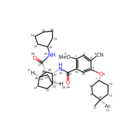 COc1cc(C#N)c(O[C@H]2CC[C@@](C)(C(C)=O)CC2)cc1C(=O)N[C@@H]1[C@H]2CC[C@H](C2)[C@@H]1C(=O)NC1CCCCC1